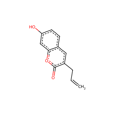 C=CCc1cc2ccc(O)cc2oc1=O